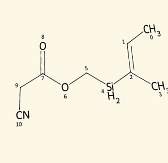 CC=C(C)[SiH2]COC(=O)CC#N